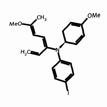 C=C/C(=C\C=C(/C)OC)N(c1ccc(I)cc1)[C@@H]1C=CC(OC)=CC1